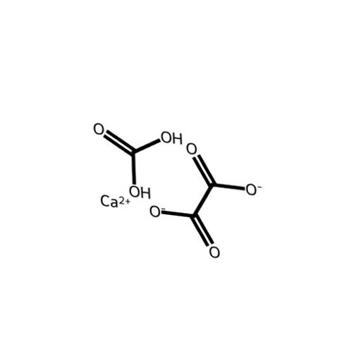 O=C(O)O.O=C([O-])C(=O)[O-].[Ca+2]